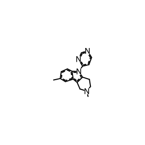 Cc1ccc2c(c1)c1c(n2-c2ccncn2)CCN(C)C1